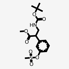 COC(=O)C(CNC(=O)OC(C)(C)C)c1cccc(OS(C)(=O)=O)c1